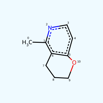 Cc1nccc2c1CCCO2